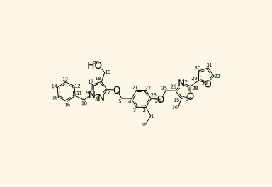 CCc1cc(COc2nn(Cc3ccccc3)cc2CO)ccc1OCc1nc(-c2ccco2)oc1C